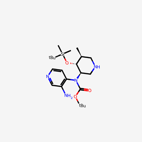 C[C@H]1CNC[C@@H](N(C(=O)OC(C)(C)C)c2ccncc2N)[C@@H]1O[Si](C)(C)C(C)(C)C